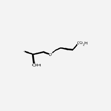 [CH2]C(O)COCCC(=O)O